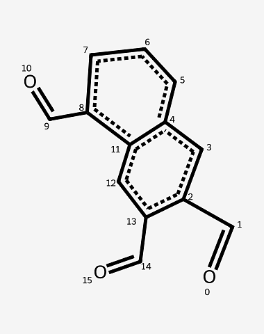 O=Cc1cc2cccc(C=O)c2cc1C=O